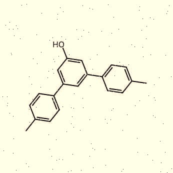 Cc1ccc(-c2cc(O)cc(-c3ccc(C)cc3)c2)cc1